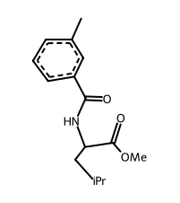 COC(=O)C(CC(C)C)NC(=O)c1cccc(C)c1